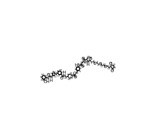 CC(C)C(NC(=O)CCOCCOCCOCCN1C(=O)C=CC1=O)C(=O)NCC(=O)Nc1ccc(COC(=O)N2CCC(CNC(=O)c3cccc(-n4cc(NC(=O)Nc5ccccc5Cl)cn4)c3)CC2)cc1